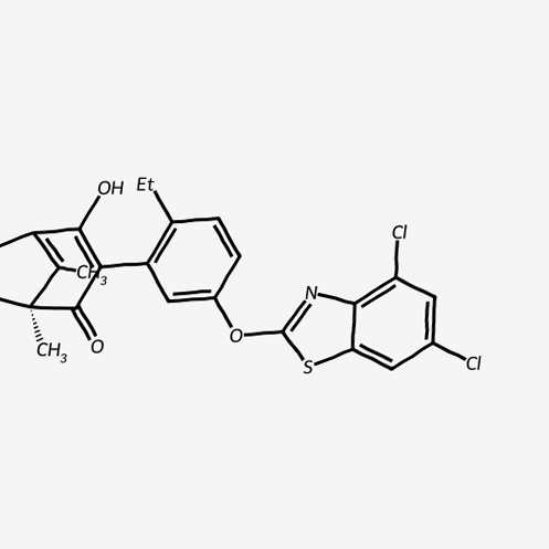 CCc1ccc(Oc2nc3c(Cl)cc(Cl)cc3s2)cc1C1=C(O)C2=C(C)[C@](C)(CC2)C1=O